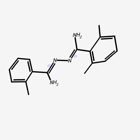 Cc1ccccc1/C(N)=N/N=C(\N)c1c(C)cccc1C